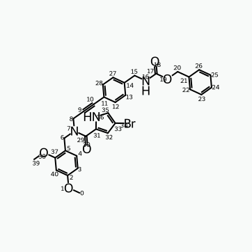 COc1ccc(CN(CC#Cc2ccc(CNC(=O)OCc3ccccc3)cc2)C(=O)c2cc(Br)c[nH]2)c(OC)c1